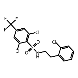 O=S(=O)(NCCc1ccccc1Cl)c1c(Cl)cc(C(F)(F)F)cc1Cl